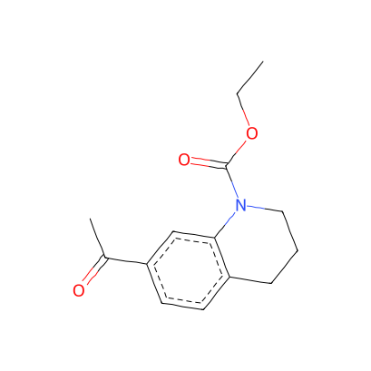 CCOC(=O)N1CCCc2ccc(C(C)=O)cc21